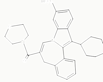 O=C(O)c1ccc2c(C3CCCCC3)c3n(c2c1)C=C(C(=O)N1CCOCC1)Cc1ccccc1-3